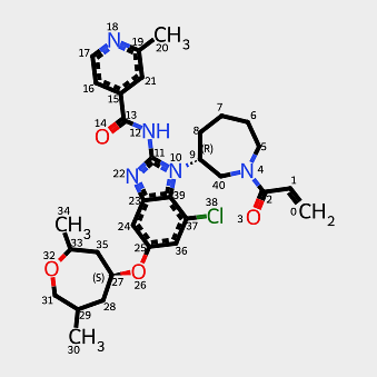 C=CC(=O)N1CCCC[C@@H](n2c(NC(=O)c3ccnc(C)c3)nc3cc(O[C@H]4CC(C)COC(C)C4)cc(Cl)c32)C1